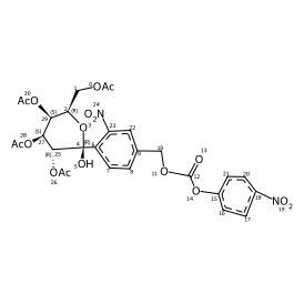 CC(=O)OC[C@H]1O[C@](O)(c2ccc(COC(=O)Oc3ccc([N+](=O)[O-])cc3)cc2[N+](=O)[O-])[C@H](OC(C)=O)[C@@H](OC(C)=O)[C@H]1OC(C)=O